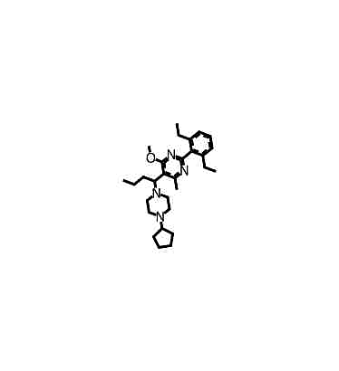 CCCC(c1c(C)nc(-c2c(CC)cccc2CC)nc1OC)N1CCN(C2CCCC2)CC1